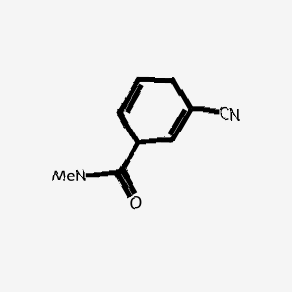 CNC(=O)C1C=CCC(C#N)=C1